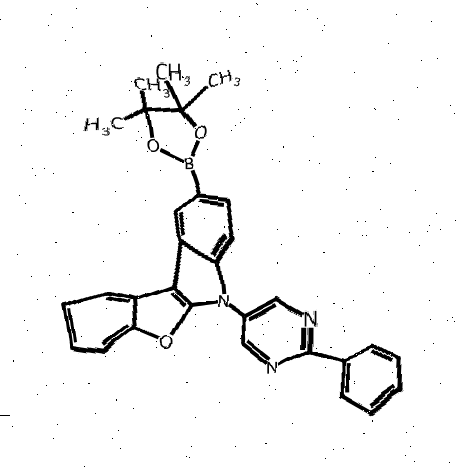 CC1(C)OB(c2ccc3c(c2)c2c4ccccc4oc2n3-c2cnc(-c3ccccc3)nc2)OC1(C)C